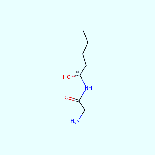 CCCC[C@@H](O)NC(=O)CN